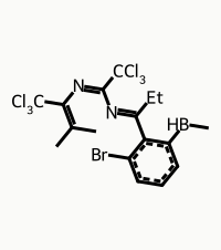 CBc1cccc(Br)c1/C(CC)=N/C(=N\C(=C(C)C)C(Cl)(Cl)Cl)C(Cl)(Cl)Cl